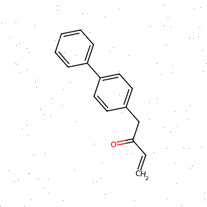 C=CC(=O)Cc1ccc(-c2ccccc2)cc1